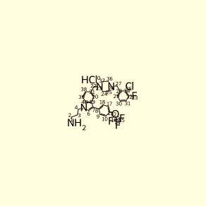 Cl.NCCCn1cc(-c2ccc(OC(F)(F)F)cc2)c2cc(CN3CCN(Cc4cccc(F)c4Cl)CC3)ccc21